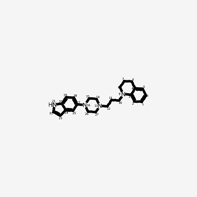 c1ccc2c(c1)CCCN2CCCN1CCN(c2ccc3[nH]ccc3c2)CC1